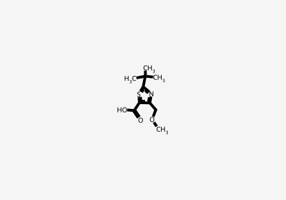 COCc1nc(C(C)(C)C)sc1C(=O)O